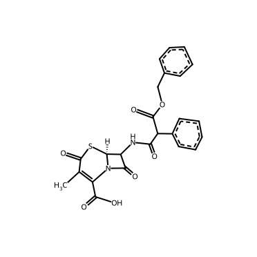 CC1=C(C(=O)O)N2C(=O)C(NC(=O)C(C(=O)OCc3ccccc3)c3ccccc3)[C@@H]2SC1=O